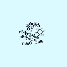 CCCCOC1[C@H](OCCCC)C([C@@H](COP(=O)(OCCCC)OCCCC)OCCCC)O[C@H](Sc2ccccc2)[C@@H]1OCCCC